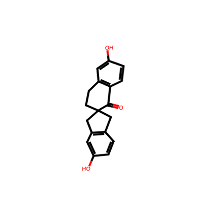 O=C1c2ccc(O)cc2CCC12Cc1ccc(O)cc1C2